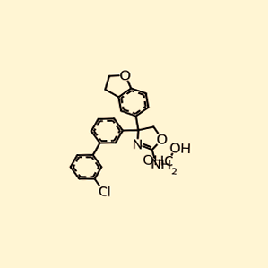 NC1=NC(c2cccc(-c3cccc(Cl)c3)c2)(c2ccc3c(c2)CCO3)CO1.O=CO